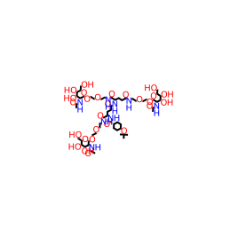 CC(=O)NC1C(OCCOCCNC(=O)CCC(NC(=O)CCC(NC(=O)[C@H]2CC[C@H](OC(C)(C)C)CC2)C(=O)NCCOCCOC2OC(CO)C(O)C(O)C2NC(C)=O)C(=O)NCCOCCOC2OC(CO)C(O)C(O)C2NC(C)=O)OC(CO)C(O)C1O